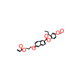 C=CC(=O)OCCCOc1ccc2cc(C(=O)Oc3ccc(OC=O)cc3CCC)ccc2c1